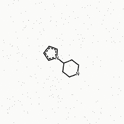 c1ccn(C2CC[N]CC2)c1